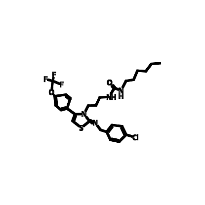 CCCCCCNC(=O)NCCCn1c(-c2ccc(OC(F)(F)F)cc2)cs/c1=N\Cc1ccc(Cl)cc1